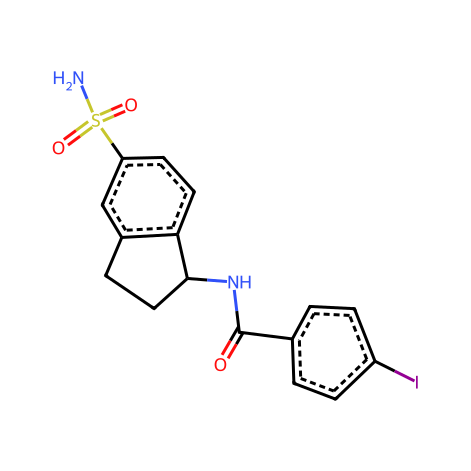 NS(=O)(=O)c1ccc2c(c1)CCC2NC(=O)c1ccc(I)cc1